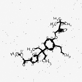 CCCc1cc(C(CC)(CC)c2ccc(C(=O)OC)s2)ccc1OCC(=O)C(C)(C)C